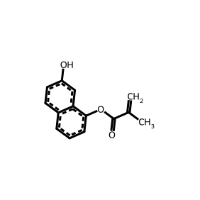 C=C(C)C(=O)Oc1cccc2ccc(O)cc12